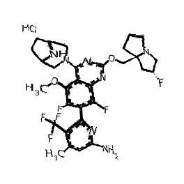 COc1c(F)c(-c2nc(N)cc(C)c2C(F)(F)F)c(F)c2nc(OC[C@@]34CCCN3C[C@H](F)C4)nc(N3CC4CCC(C3)N4)c12.Cl